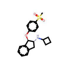 CS(=O)(=O)c1ccc(O[C@@H]2c3ccccc3C[C@H]2NC2CCC2)cc1